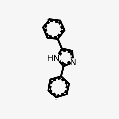 [c]1ccc(-c2cnc(-c3cc[c]cc3)[nH]2)cc1